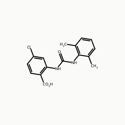 Cc1cccc(C)c1NC(=O)Nc1cc(Cl)ccc1C(=O)O